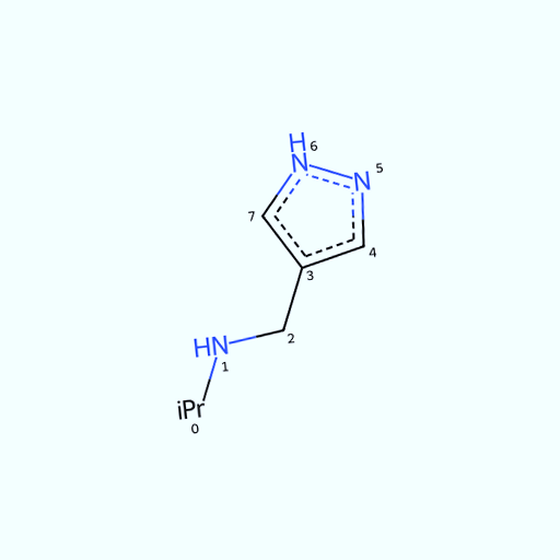 CC(C)NCc1cn[nH]c1